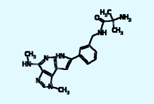 CNc1nc2[nH]c(-c3cccc(CNC(=O)C(C)(C)N)c3)cc2c2c1ncn2C